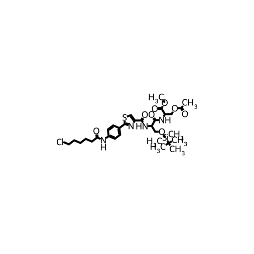 COC(=O)C(COC(C)=O)NC(=O)C(CO[Si](C)(C)C(C)(C)C)NC(=O)c1csc(-c2ccc(NC(=O)CCCCCCl)cc2)n1